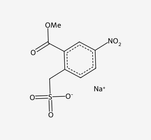 COC(=O)c1cc([N+](=O)[O-])ccc1CS(=O)(=O)[O-].[Na+]